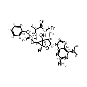 CC(C)OC(=O)[C@H](C)N[P@@](=O)(Oc1ccccc1)OC1[C@H]2O[C@@H](n3cnc4c(N(C)C)nc(N)nc43)[C@@H](F)[C@@]12O